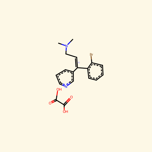 CN(C)C/C=C(\c1cccnc1)c1ccccc1Br.O=C(O)C(=O)O